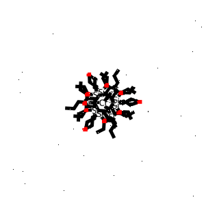 CCC[Si](CCC)(CCC)[C]([Cr+3]([C]([Si](CCC)(CCC)CCC)([Si](CCC)(CCC)CCC)[Si](CCC)(CCC)CCC)[C]([Si](CCC)(CCC)CCC)([Si](CCC)(CCC)CCC)[Si](CCC)(CCC)CCC)([Si](CCC)(CCC)CCC)[Si](CCC)(CCC)CCC